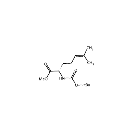 COC(=O)[C@H](CCC=C(C)C)NC(=O)OC(C)(C)C